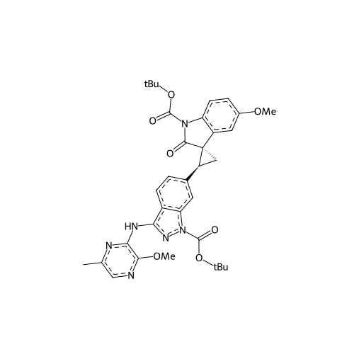 COc1ccc2c(c1)[C@]1(C[C@H]1c1ccc3c(Nc4nc(C)cnc4OC)nn(C(=O)OC(C)(C)C)c3c1)C(=O)N2C(=O)OC(C)(C)C